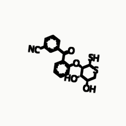 N#Cc1cccc(C(=O)c2ccccc2O[C@@H]2[C@@H](O)[C@H](O)CS[C@@H]2S)c1